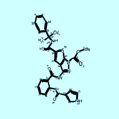 CC(C)(C)OC(=O)n1nc(NC(=O)c2ccccc2NC(=O)c2cc[nH]c2)c2cc(C(=O)NC(C)(C)c3ccccc3)sc21